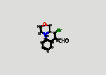 O=CC(CBr)c1ccccc1N1CCOCC1